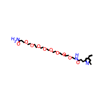 C=Cc1cc(C)nc(CCC(=O)NCCOCCOCCOCCOCCOCCOCCOCCOCCC(N)=O)c1